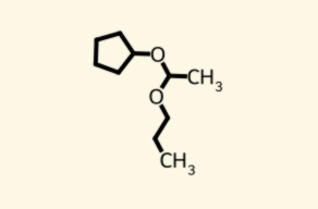 CCCOC(C)OC1CCCC1